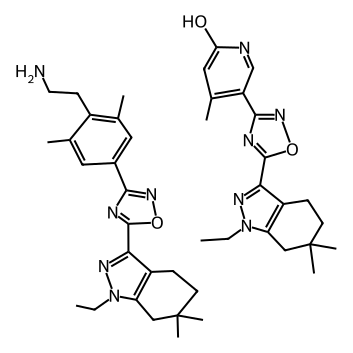 CCn1nc(-c2nc(-c3cc(C)c(CCN)c(C)c3)no2)c2c1CC(C)(C)CC2.CCn1nc(-c2nc(-c3cnc(O)cc3C)no2)c2c1CC(C)(C)CC2